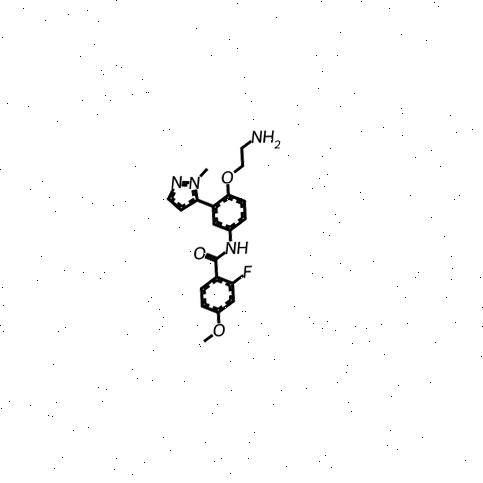 COc1ccc(C(=O)Nc2ccc(OCCN)c(-c3ccnn3C)c2)c(F)c1